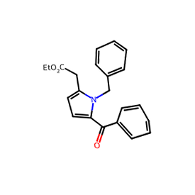 CCOC(=O)Cc1ccc(C(=O)c2ccccc2)n1Cc1ccccc1